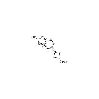 COC1CN(c2ccc3nc(Cl)nn3c2)C1